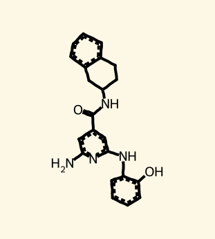 Nc1cc(C(=O)NC2CCc3ccccc3C2)cc(Nc2ccccc2O)n1